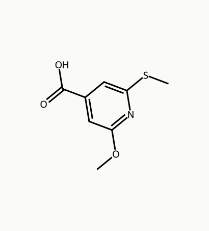 COc1cc(C(=O)O)cc(SC)n1